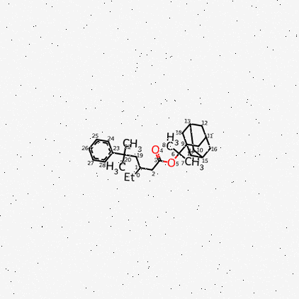 CCC(CC(=O)OC(C)(C)C12CC3CC(CC(C3)C1)C2)CC(C)(C)c1ccccc1